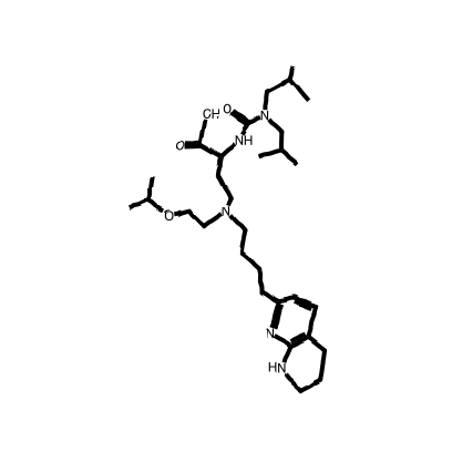 CC(C)CN(CC(C)C)C(=O)NC(CCN(CCCCc1ccc2c(n1)NCCC2)CCOC(C)C)C(=O)O